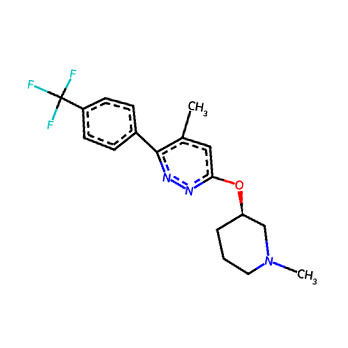 Cc1cc(O[C@@H]2CCCN(C)C2)nnc1-c1ccc(C(F)(F)F)cc1